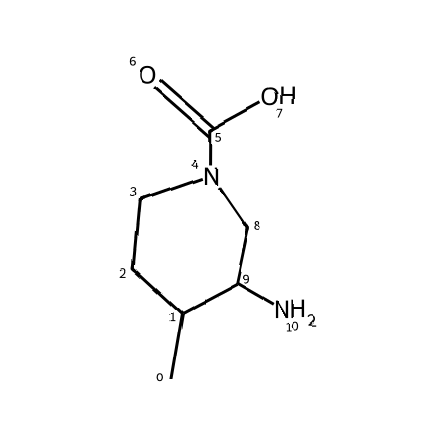 CC1CCN(C(=O)O)CC1N